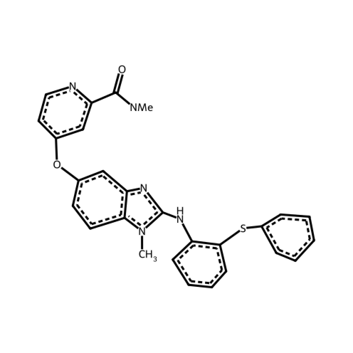 CNC(=O)c1cc(Oc2ccc3c(c2)nc(Nc2ccccc2Sc2ccccc2)n3C)ccn1